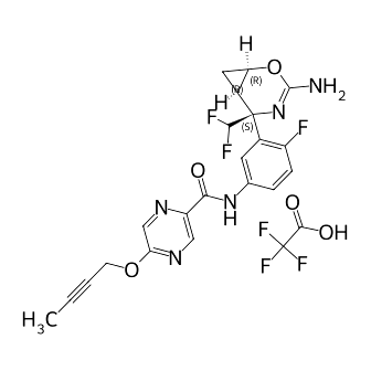 CC#CCOc1cnc(C(=O)Nc2ccc(F)c([C@@]3(C(F)F)N=C(N)O[C@@H]4C[C@@H]43)c2)cn1.O=C(O)C(F)(F)F